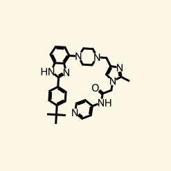 Cc1nc(CN2CCN(c3cccc4[nH]c(-c5ccc(C(C)(C)C)cc5)nc34)CC2)cn1CC(=O)Nc1ccncc1